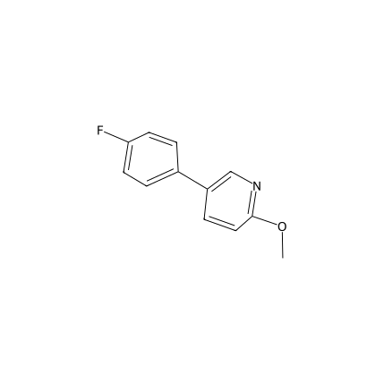 COc1ccc(-c2ccc(F)cc2)cn1